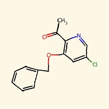 CC(=O)c1ncc(Cl)cc1OCc1ccccc1